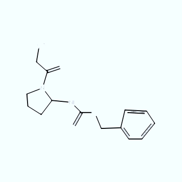 CC(=O)OCC(=O)N1CCCC1NC(=O)OCc1ccccc1